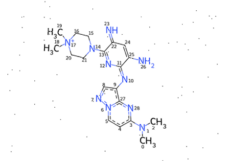 CN(C)c1ccn2ncc(/N=C3\N=C(N4CC[N+](C)(C)CC4)C(=N)C=C3N)c2n1